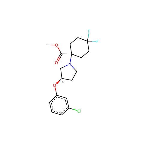 COC(=O)C1(N2CC[C@@H](Oc3cccc(Cl)c3)C2)CCC(F)(F)CC1